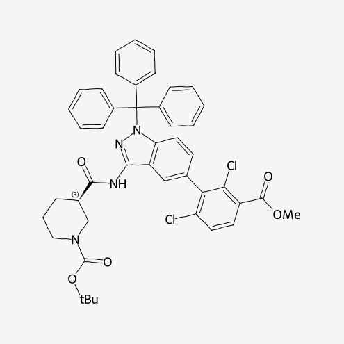 COC(=O)c1ccc(Cl)c(-c2ccc3c(c2)c(NC(=O)[C@@H]2CCCN(C(=O)OC(C)(C)C)C2)nn3C(c2ccccc2)(c2ccccc2)c2ccccc2)c1Cl